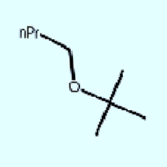 [CH2]CCCOC(C)(C)C